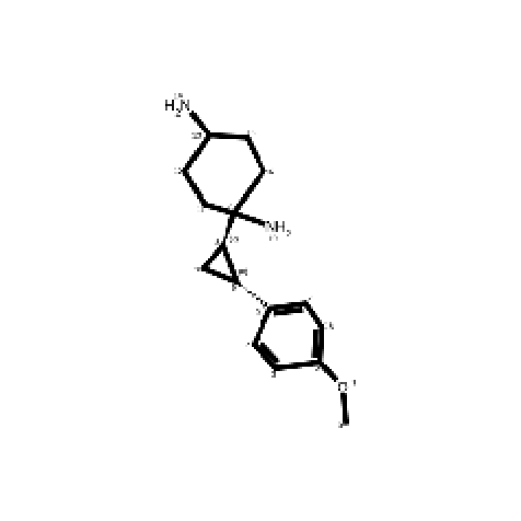 COc1ccc([C@@H]2C[C@H]2C2(N)CCC(N)CC2)cc1